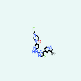 CC(C)c1cnn2ccc(-c3nc(Nc4ccc(N5CCN(CCF)CCC5=O)cn4)ncc3F)cc12